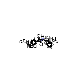 CCCCN(CCCC)c1ccc(C2=C(O)/C(=C/C3=Nc4ccccc4C3(C)C)C2=O)cc1